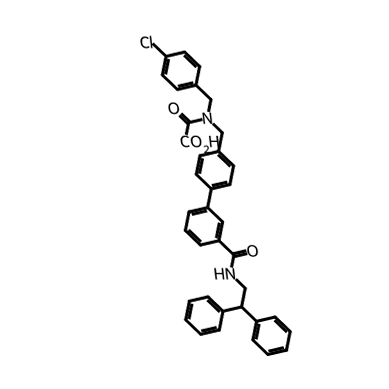 O=C(O)C(=O)N(Cc1ccc(Cl)cc1)Cc1ccc(-c2cccc(C(=O)NCC(c3ccccc3)c3ccccc3)c2)cc1